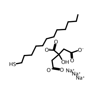 CCCCCCCCCCCCS.O=C([O-])CC(O)(CC(=O)[O-])C(=O)[O-].[Na+].[Na+].[Na+]